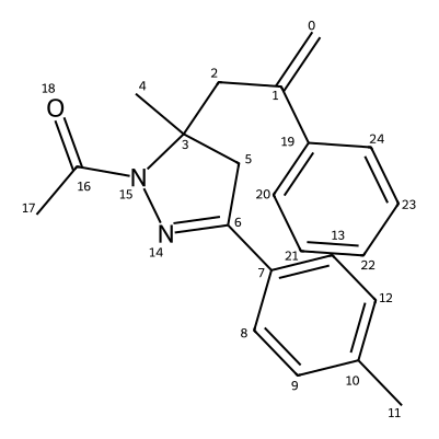 C=C(CC1(C)CC(c2ccc(C)cc2)=NN1C(C)=O)c1ccccc1